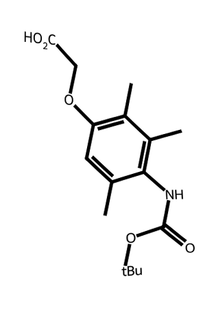 Cc1cc(OCC(=O)O)c(C)c(C)c1NC(=O)OC(C)(C)C